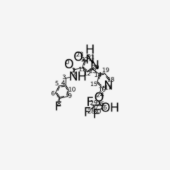 O=C(NCc1ccc(F)cc1)c1cc(-c2ccncc2)n[nH]c1=O.O=C(O)C(F)(F)F